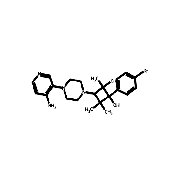 CC(C)c1ccc(C2(O)C(C)(C)C(N3CCN(c4cnccc4N)CC3)C2(C)C)cc1